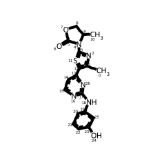 Cc1nc(N2C(=O)OCC2C)sc1-c1ccnc(Nc2cccc(O)c2)n1